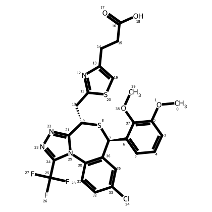 COc1cccc([C@@H]2S[C@@H](Cc3nc(CCC(=O)O)cs3)c3nnc(C(F)(F)F)n3-c3ccc(Cl)cc32)c1OC